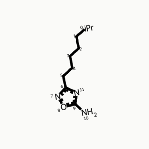 CC(C)CCCCCc1noc(N)n1